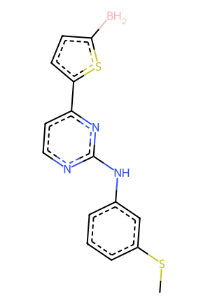 Bc1ccc(-c2ccnc(Nc3cccc(SC)c3)n2)s1